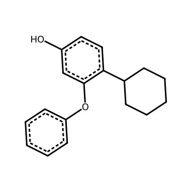 Oc1ccc(C2CCCCC2)c(Oc2ccccc2)c1